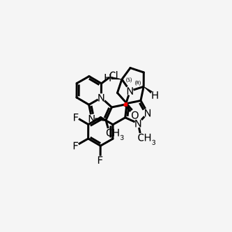 Cc1nc2cccc(Cl)n2c1C(=O)N1[C@H]2CC[C@@H]1c1nn(C)c(-c3cc(F)c(F)c(F)c3)c1C2